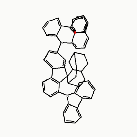 c1ccc(-c2ccccc2N(c2ccc3c(c2)C2(c4c-3cccc4-n3c4ccccc4c4ccccc43)C3CCC4CCC(C3)CC42)c2cccc3ccccc23)cc1